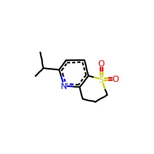 CC(C)c1ccc2c(n1)CCCS2(=O)=O